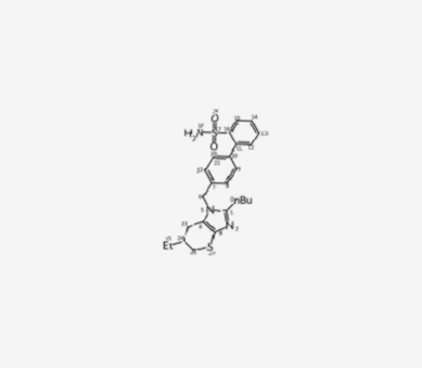 CCCCc1nc2c(n1Cc1ccc(-c3ccccc3S(N)(=O)=O)cc1)[C]C(CC)CS2